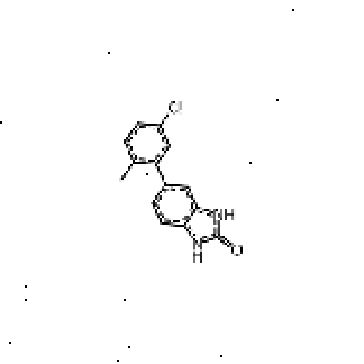 Cc1ccc(Cl)cc1-c1ccc2[nH]c(=O)[nH]c2c1